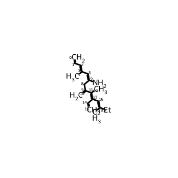 C=C/C=C(C)/C=C(/N)CC(=C)/C(C)=C(C=C)/C=C(\C)CC